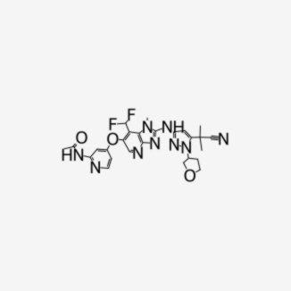 CC(=O)Nc1cc(Oc2cnc3nc(Nc4cc(C(C)(C)C#N)n(C5CCOC5)n4)n(C)c3c2C(F)F)ccn1